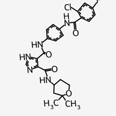 CC1(C)CC(NC(=O)c2nc[nH]c2C(=O)Nc2ccc(NC(=O)c3ccc(F)cc3Cl)cc2)CCO1